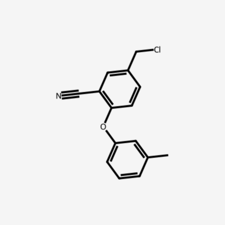 Cc1cccc(Oc2ccc(CCl)cc2C#N)c1